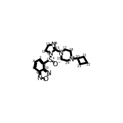 [O-][S+](c1cccc2nonc12)N1CCN=C1N1CCN(C2CCC2)CC1